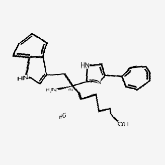 Cl.N[C@@](CCCCO)(Cc1c[nH]c2ccccc12)c1nc(-c2ccccc2)c[nH]1